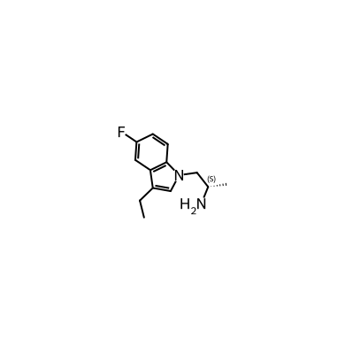 CCc1cn(C[C@H](C)N)c2ccc(F)cc12